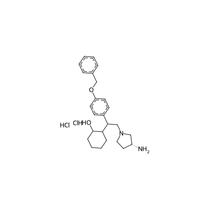 Cl.Cl.N[C@@H]1CCN(CC(c2ccc(OCc3ccccc3)cc2)C2CCCCC2O)C1